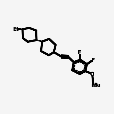 CCCCOc1ccc(C#CC2CCC([C@H]3CC[C@H](CC)CC3)CC2)c(F)c1F